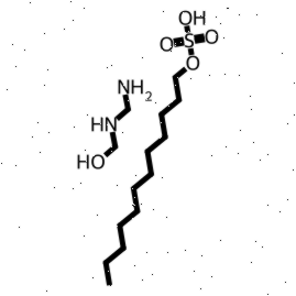 CCCCCCCCCCCCOS(=O)(=O)O.NCNCO